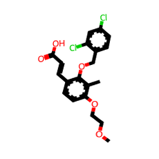 COCCOc1ccc(C=CC(=O)O)c(OCc2ccc(Cl)cc2Cl)c1C